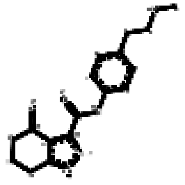 CNCCc1ccc(NC(=O)c2n[nH]c3c2C(=O)CCC3)cc1